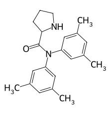 Cc1cc(C)cc(N(C(=O)C2CCCN2)c2cc(C)cc(C)c2)c1